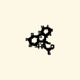 CC(=O)NC1(C)c2ccccc2-c2ccccc21